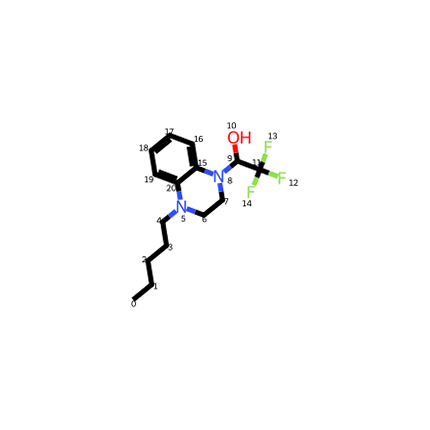 CCCCCN1CCN(C(O)C(F)(F)F)c2ccccc21